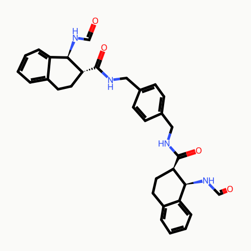 O=CN[C@@H]1c2ccccc2CC[C@H]1C(=O)NCc1ccc(CNC(=O)[C@@H]2CCc3ccccc3[C@@H]2NC=O)cc1